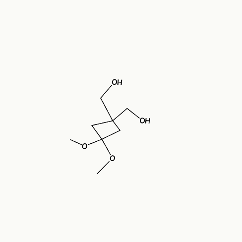 COC1(OC)CC(CO)(CO)C1